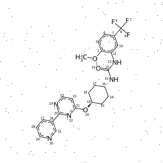 COc1ccc(C(F)(F)F)cc1NC(=O)N[C@H]1CC[C@H](Oc2ccnc(-c3cccnc3)n2)CC1